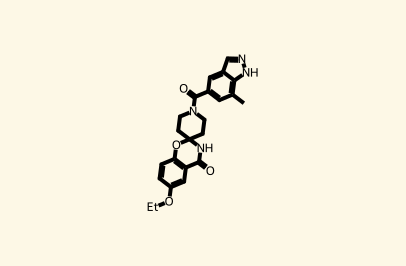 CCOc1ccc2c(c1)C(=O)NC1(CCN(C(=O)c3cc(C)c4[nH]ncc4c3)CC1)O2